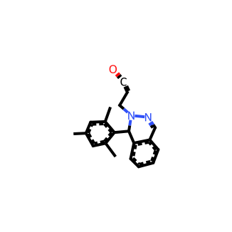 Cc1cc(C)c(C2c3ccccc3C=NN2CC=C=O)c(C)c1